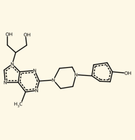 Cc1nc(N2CCN(c3ccc(O)cc3)CC2)nc2c1ncn2C(CO)CO